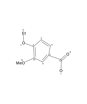 CCOc1ccc(C([O])=O)cc1OC